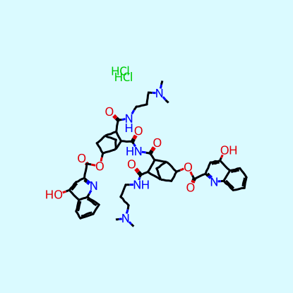 CN(C)CCCNC(=O)C1C2CC(OC(=O)c3cc(O)c4ccccc4n3)C(C2)C1C(=O)NC(=O)C1C2CC(CC2OC(=O)c2cc(O)c3ccccc3n2)C1C(=O)NCCCN(C)C.Cl.Cl